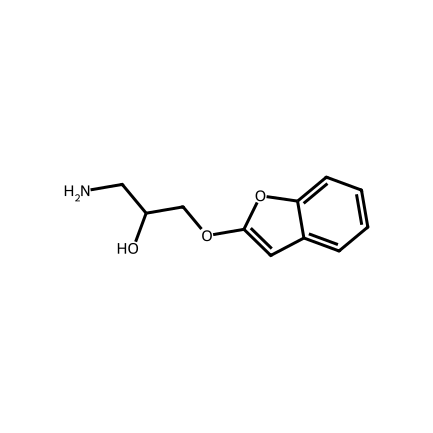 NCC(O)COc1cc2ccccc2o1